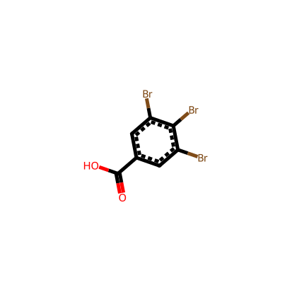 O=C(O)c1cc(Br)c(Br)c(Br)c1